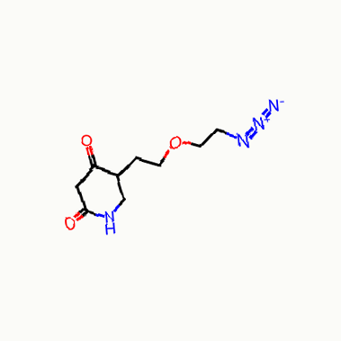 [N-]=[N+]=NCCOCCC1CNC(=O)CC1=O